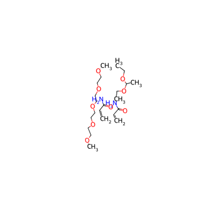 C=CC(N)=O.C=CC(N)=O.CCOC(C)OCC.COCCOCCOCCOCCOC